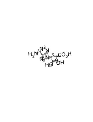 Nc1ncnc2c1ncn2C1C=C(C(=O)O)C(O)C1O